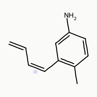 C=C/C=C\c1cc(N)ccc1C